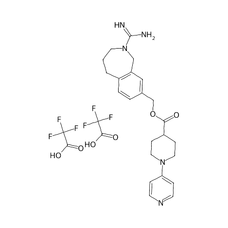 N=C(N)N1CCCc2ccc(COC(=O)C3CCN(c4ccncc4)CC3)cc2C1.O=C(O)C(F)(F)F.O=C(O)C(F)(F)F